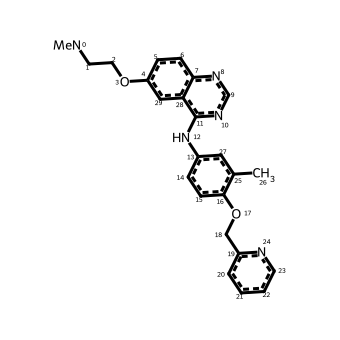 CNCCOc1ccc2ncnc(Nc3ccc(OCc4ccccn4)c(C)c3)c2c1